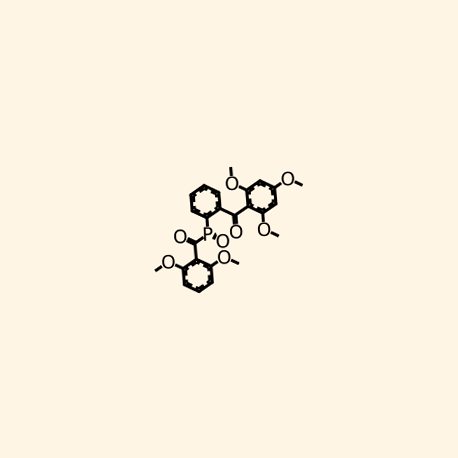 COc1cc(OC)c(C(=O)c2ccccc2[P](=O)C(=O)c2c(OC)cccc2OC)c(OC)c1